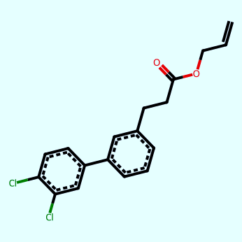 C=CCOC(=O)CCc1cccc(-c2ccc(Cl)c(Cl)c2)c1